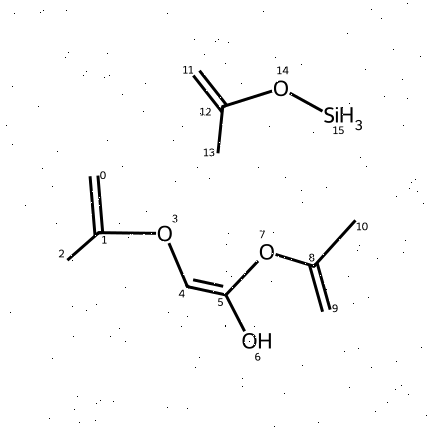 C=C(C)OC=C(O)OC(=C)C.C=C(C)O[SiH3]